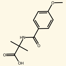 COc1ccc(C(=O)NC(C)(C)C(=O)O)cc1